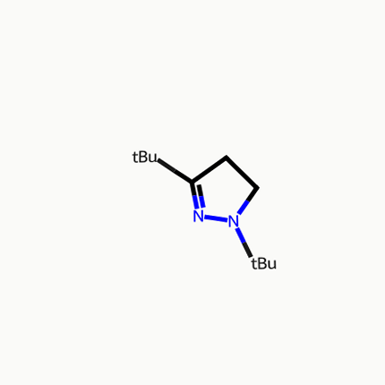 CC(C)(C)C1=NN(C(C)(C)C)CC1